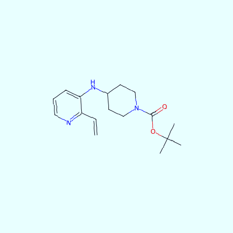 C=Cc1ncccc1NC1CCN(C(=O)OC(C)(C)C)CC1